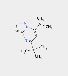 CC(C)c1cc(C(C)(C)C)nc2ccnn12